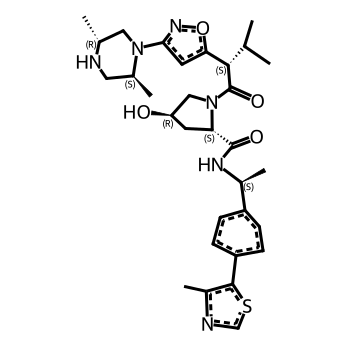 Cc1ncsc1-c1ccc([C@H](C)NC(=O)[C@@H]2C[C@@H](O)CN2C(=O)[C@H](c2cc(N3C[C@@H](C)NC[C@@H]3C)no2)C(C)C)cc1